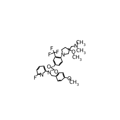 COc1ccc(CN(c2cccc(F)n2)S(=O)(=O)c2ccc(N3CC[C@](CN(C)C)(OC)C3)c(C(F)(F)F)c2)cc1